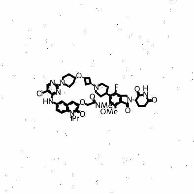 CNC(=O)COc1cc2cc(Nc3nc(N4CCC(O[C@H]5C[C@H](N6CCC(c7cc(OC)c8c(c7F)CN([C@H]7CCC(=O)NC7=O)C8=O)CC6)C5)CC4)ncc3Cl)ccc2n(C(C)C)c1=O